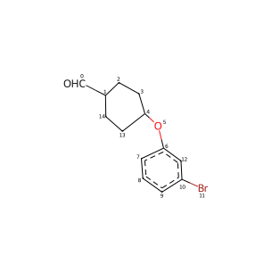 O=CC1CCC(Oc2cccc(Br)c2)CC1